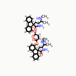 CNC(C)CCC1(C(N)=O)c2ccccc2-c2cccc(OC(=O)/C=C\C(=O)Oc3cccc4c3C(CCC(C)NC)(C(N)=O)c3ccccc3-4)c21